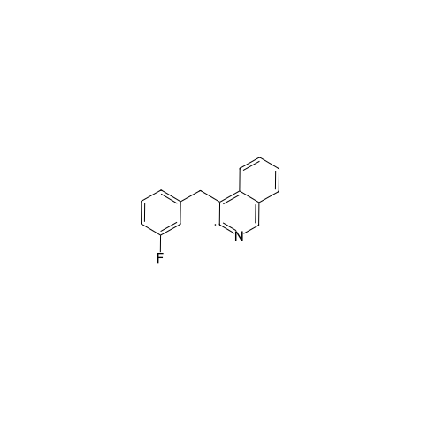 Fc1cccc(Cc2[c]ncc3ccccc23)c1